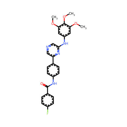 COc1cc(Nc2cncc(-c3ccc(NC(=O)c4ccc(F)cc4)cc3)n2)cc(OC)c1OC